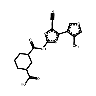 Cc1cocc1-c1nc(NC(=O)C2CCCC(C(=O)O)C2)sc1C#N